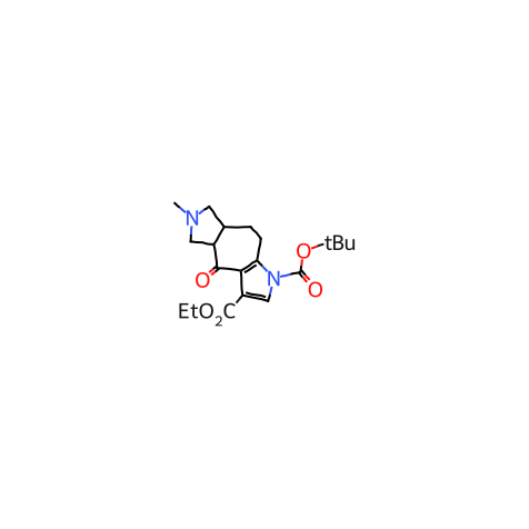 CCOC(=O)c1cn(C(=O)OC(C)(C)C)c2c1C(=O)C1CN(C)CC1CC2